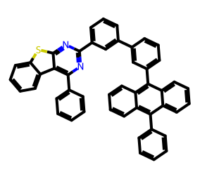 c1ccc(-c2c3ccccc3c(-c3cccc(-c4cccc(-c5nc(-c6ccccc6)c6c(n5)sc5ccccc56)c4)c3)c3ccccc23)cc1